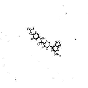 Nc1nc(N2CCN(C(=O)Nc3ccc(OC(F)F)cc3)CC2)c2ncsc2n1